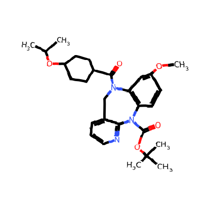 COc1ccc2c(c1)N(C(=O)C1CCC(OC(C)C)CC1)Cc1cccnc1N2C(=O)OC(C)(C)C